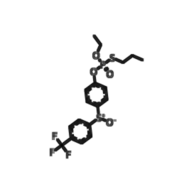 CCCSP(=O)(OCC)Oc1ccc([S+]([O-])c2ccc(C(F)(F)F)cc2)cc1